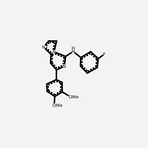 COc1ccc(-c2cc3nccn3c(Nc3cccc(F)c3)n2)cc1OC